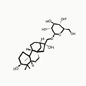 CC1(C)[C@H]2CC[C@@]34C[C@@H](CC[C@H]3[C@]2(C)CC[C@@H]1O)[C@@](O)(CO[C@@H]1O[C@H](CO)[C@@H](O)[C@H](O)[C@H]1O)C4